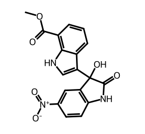 COC(=O)c1cccc2c(C3(O)C(=O)Nc4ccc([N+](=O)[O-])cc43)c[nH]c12